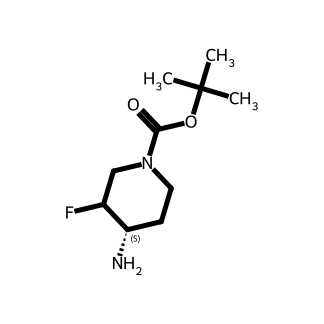 CC(C)(C)OC(=O)N1CC[C@H](N)C(F)C1